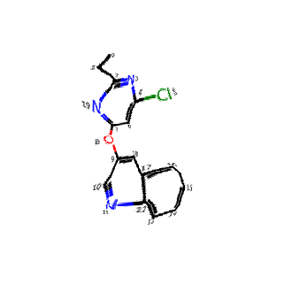 CCc1nc(Cl)cc(Oc2cnc3ccccc3c2)n1